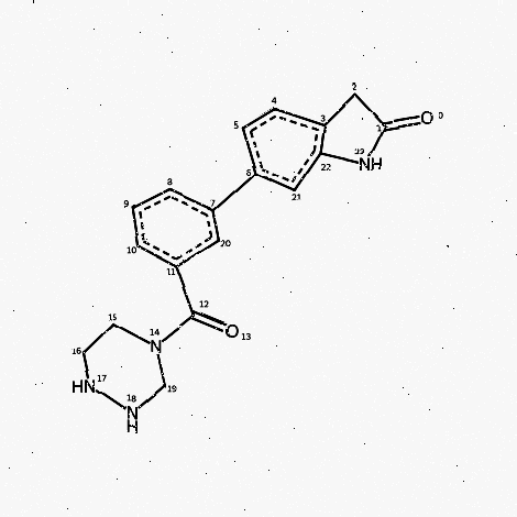 O=C1Cc2ccc(-c3cccc(C(=O)N4CCNNC4)c3)cc2N1